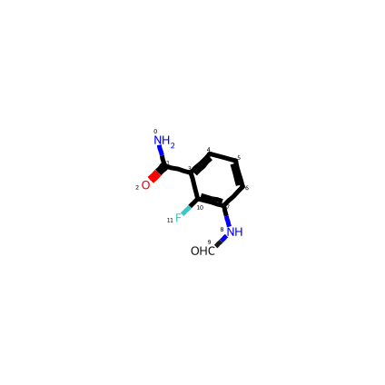 NC(=O)c1cccc(NC=O)c1F